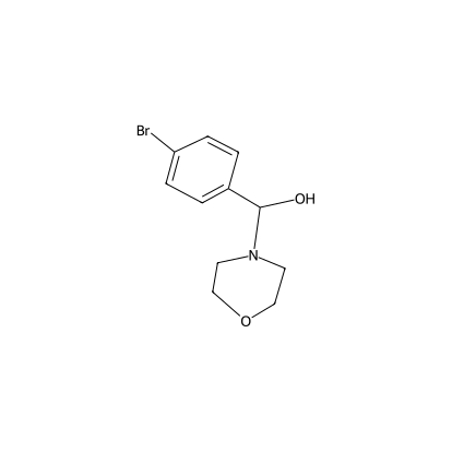 OC(c1ccc(Br)cc1)N1CCOCC1